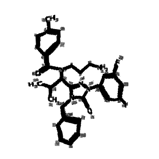 Cc1ccc(C(=O)N(CCCN)C(c2nn(-c3cc(F)cc(F)c3)c(=O)n2Cc2ccccc2)C(C)C)cc1